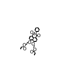 C=CC(=O)OCCOc1ccc2c3c(ccc(OCCOC(=O)C=C)c13)C(=O)N(c1ccccc1)C2=O